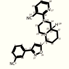 N#Cc1cccc(-c2cc([C@H]3CCC[C@H]4CN(c5ncccc5C#N)CCN43)on2)c1